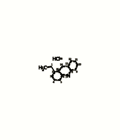 C=Cc1cccc2nc3ccccc3cc12.Cl